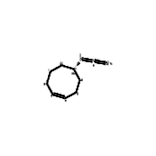 [N-]=[N+]=N[C@@H]1CCC=CCCC1